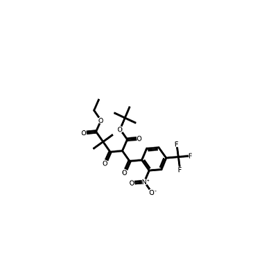 CCOC(=O)C(C)(C)C(=O)C(C(=O)OC(C)(C)C)C(=O)c1ccc(C(F)(F)F)cc1[N+](=O)[O-]